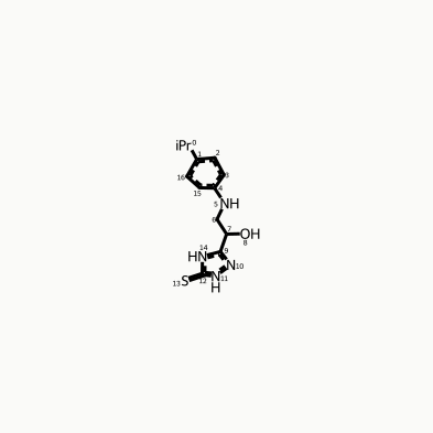 CC(C)c1ccc(NCC(O)c2n[nH]c(=S)[nH]2)cc1